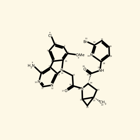 COc1cc(Cl)cc2c3c(N)ncnc3n(CC(=O)N3C4C[C@]4(C)C[C@H]3C(=O)Nc3cccc(Br)n3)c12